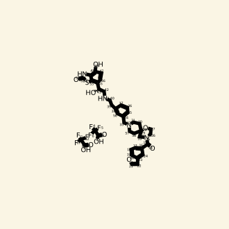 O=C(O)C(F)(F)F.O=C(O)C(F)(F)F.O=C(c1ccc2occc2c1)N1CCOC2(CCN(Cc3cccc(CCNC[C@H](O)c4ccc(O)c5[nH]c(=O)sc45)c3)CC2)C1